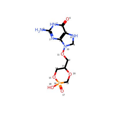 Nc1nc2c(c(=O)[nH]1)NCN2OCC1COP(=O)(O)CO1